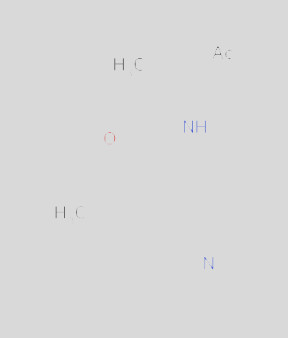 CC(=O)C(C)NC(=O)c1cnccc1C